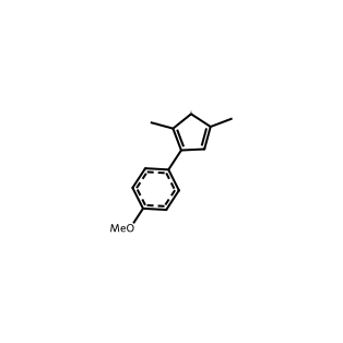 COc1ccc(C2=C(C)[CH]C(C)=C2)cc1